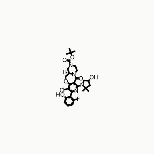 CC(C)(C)OC(=O)N1CCN2C(=O)c3c(N4CC(O)CC4(C)C)nc(-c4c(O)cccc4F)c(Cl)c3OC[C@H]2C1